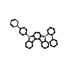 C1=CCC(c2ccc(-n3c4ccccc4c4c5c6ccccc6n(-c6ccccc6-c6ccccc6)c5ccc43)cc2)C=C1